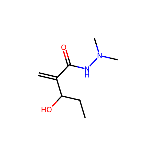 C=C(C(=O)NN(C)C)C(O)CC